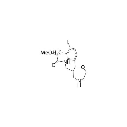 COCC(=O)NCC1CNCCOC1c1ccc(I)c(C)c1